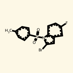 Cc1ccc(S(=O)(=O)n2c(Br)cc3cc(F)ccc32)cc1